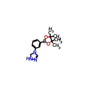 CC1(C)OB(c2cccc(N3C=NNC3)c2)OC1(C)C